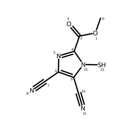 COC(=O)c1nc(C#N)c(C#N)n1S